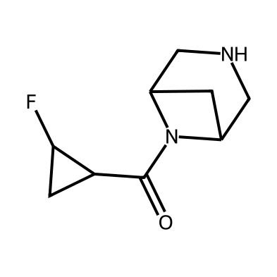 O=C(C1CC1F)N1C2CNCC1C2